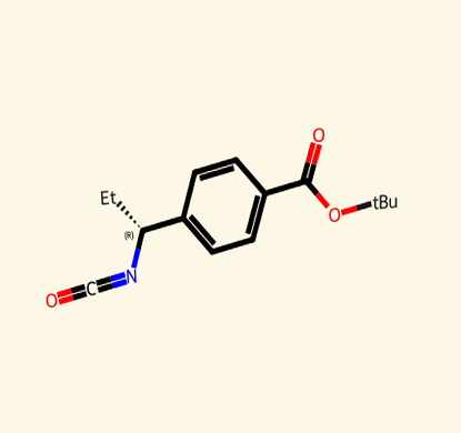 CC[C@@H](N=C=O)c1ccc(C(=O)OC(C)(C)C)cc1